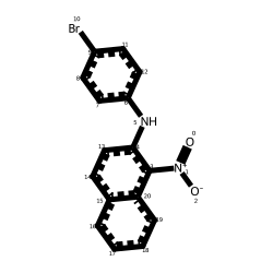 O=[N+]([O-])c1c(Nc2ccc(Br)cc2)ccc2ccccc12